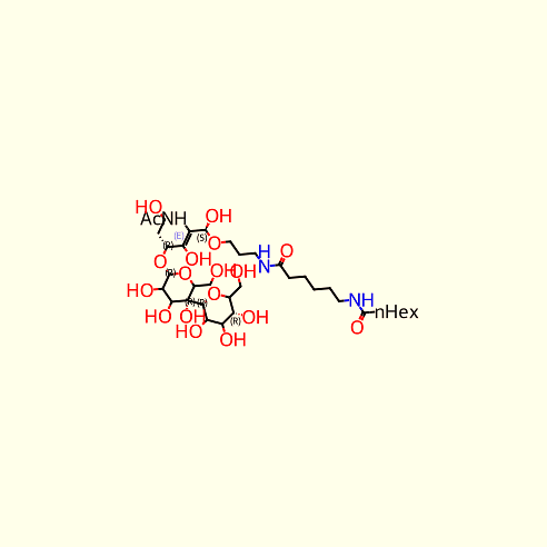 CCCCCCC(=O)NCCCCCC(=O)NCCCO[C@H](O)/C(NC(C)=O)=C(\O)[C@@H](CCO)O[C@@H]1OC(CO)[C@@](O)([C@@H]2OC(CO)[C@H](O)C(O)C2O)C(O)C1O